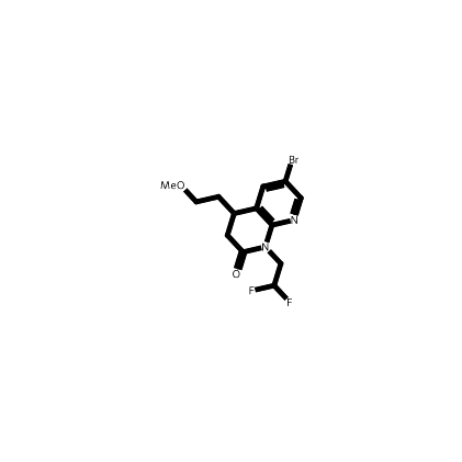 COCCC1CC(=O)N(CC(F)F)c2ncc(Br)cc21